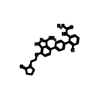 NC(=O)Nc1cccc(Cl)c1-c1ccc(-c2ccc(OCCN3CCCC3=O)c3[nH]nc(N)c23)cc1